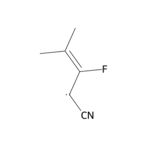 CC(C)=C(F)[CH]C#N